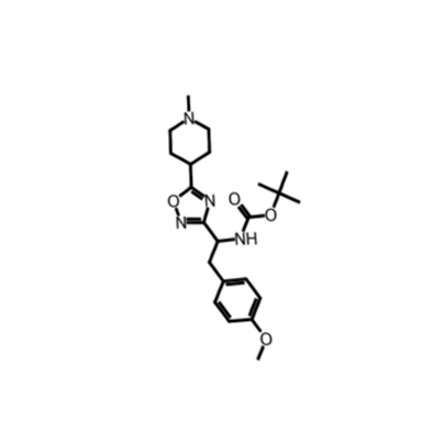 COc1ccc(CC(NC(=O)OC(C)(C)C)c2noc(C3CCN(C)CC3)n2)cc1